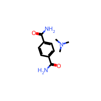 CN(C)C.NC(=O)c1ccc(C(N)=O)cc1